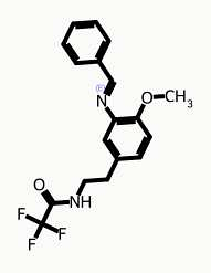 COc1ccc(CCNC(=O)C(F)(F)F)cc1/N=C/c1ccccc1